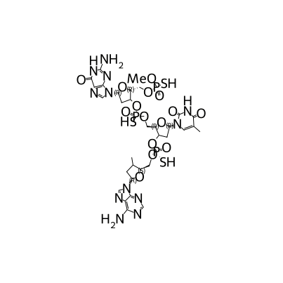 COP(=O)(S)OC[C@H]1O[C@@H](n2cnc3c(=O)[nH]c(N)nc32)CC1OP(=O)(S)OC[C@H]1O[C@@H](n2cc(C)c(=O)[nH]c2=O)CC1OP(=O)(S)OC[C@H]1O[C@@H](n2cnc3c(N)ncnc32)CC1C